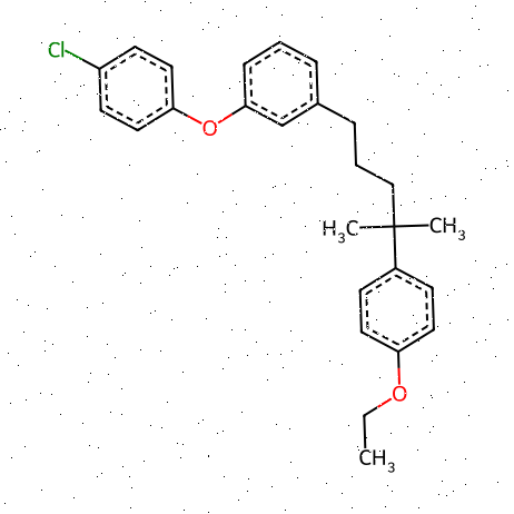 CCOc1ccc(C(C)(C)CCCc2cccc(Oc3ccc(Cl)cc3)c2)cc1